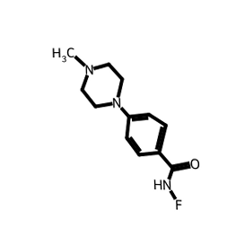 CN1CCN(c2ccc(C(=O)NF)cc2)CC1